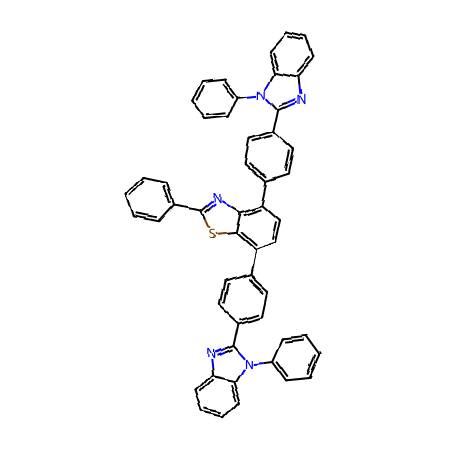 c1ccc(-c2nc3c(-c4ccc(-c5nc6ccccc6n5-c5ccccc5)cc4)ccc(-c4ccc(-c5nc6ccccc6n5-c5ccccc5)cc4)c3s2)cc1